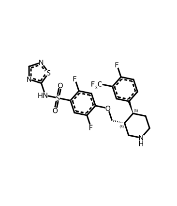 O=S(=O)(Nc1ncns1)c1cc(F)c(OC[C@H]2CNCC[C@@H]2c2ccc(F)c(C(F)(F)F)c2)cc1F